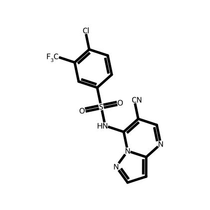 N#Cc1cnc2ccnn2c1NS(=O)(=O)c1ccc(Cl)c(C(F)(F)F)c1